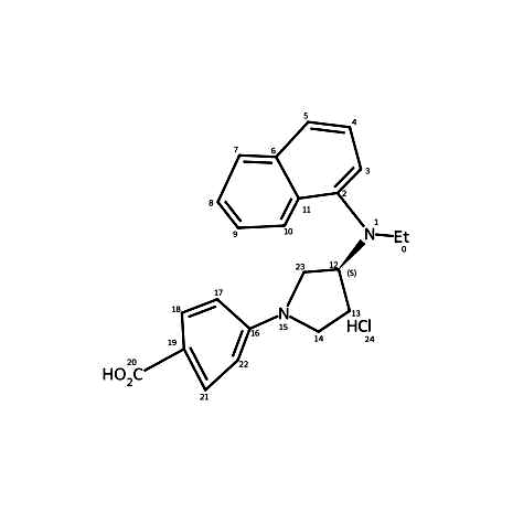 CCN(c1cccc2ccccc12)[C@H]1CCN(c2ccc(C(=O)O)cc2)C1.Cl